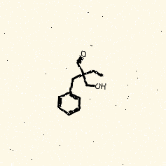 CCC(C=O)(CO)Cc1ccccc1